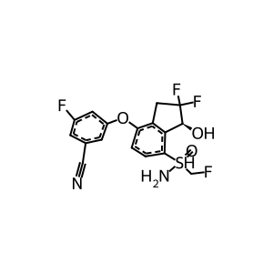 N#Cc1cc(F)cc(Oc2ccc([SH](N)(=O)CF)c3c2CC(F)(F)[C@H]3O)c1